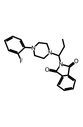 CCC(N1CCN(c2ccccc2F)CC1)N1C(=O)c2ccccc2C1=O